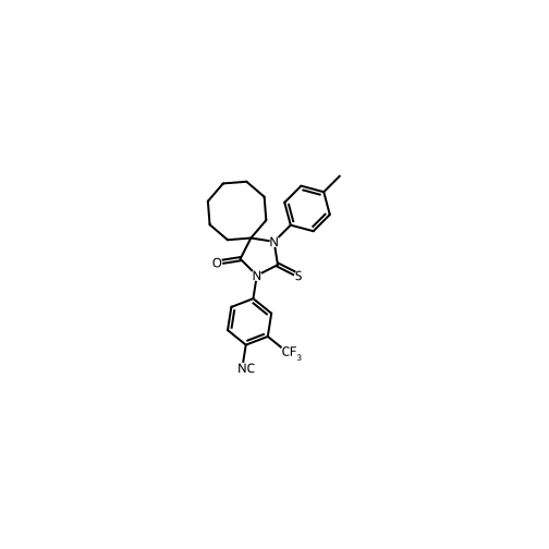 [C-]#[N+]c1ccc(N2C(=O)C3(CCCCCCC3)N(c3ccc(C)cc3)C2=S)cc1C(F)(F)F